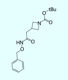 CC(C)(C)OC(=O)N1CC(CC(=O)NOCc2ccccc2)C1